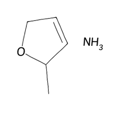 CC1C=CCO1.N